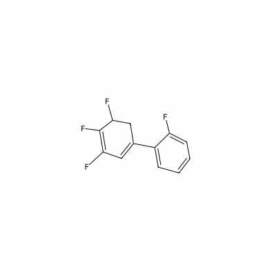 FC1=C(F)C(F)CC(c2ccccc2F)=C1